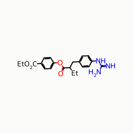 CCOC(=O)c1ccc(OC(=O)C(CC)Cc2ccc(NC(=N)N)cc2)cc1